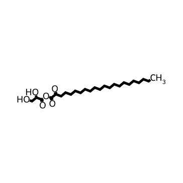 CCCCCCCCCCCCCCCCCCCCC(=O)C(=O)OC(=O)C(O)CO